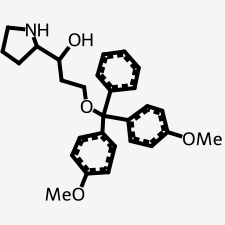 COc1ccc(C(OCCC(O)C2CCCN2)(c2ccccc2)c2ccc(OC)cc2)cc1